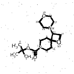 CC(C)(C)OC(=O)N1CCC2(CC1)OCC2N1CCOCC1